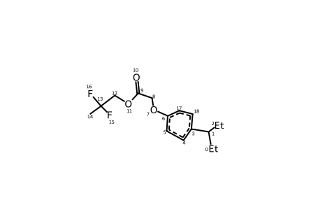 CCC(CC)c1ccc(OCC(=O)OCC(C)(F)F)cc1